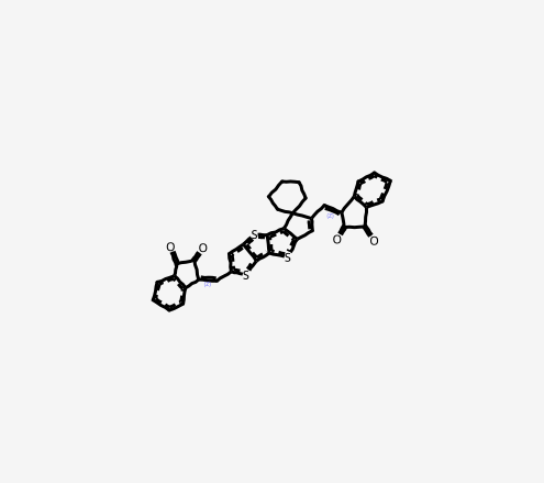 O=C1C(=O)c2ccccc2/C1=C/C1=Cc2sc3c(sc4cc(/C=C5\C(=O)C(=O)c6ccccc65)sc43)c2C12CCCCC2